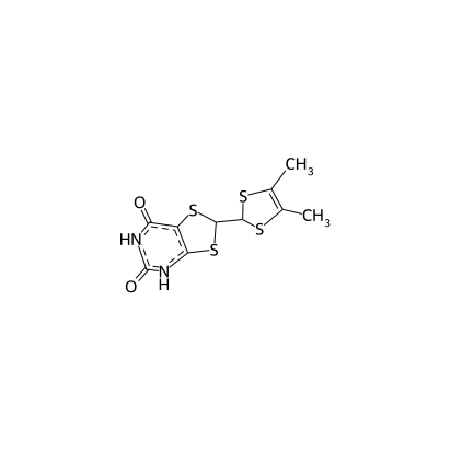 CC1=C(C)SC(C2Sc3[nH]c(=O)[nH]c(=O)c3S2)S1